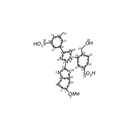 COc1ccc2nc(-n3nc(-c4cc(C)cc(S(=O)(=O)O)c4)n[n+]3-c3cc(S(=O)(=O)O)ccc3CO)sc2c1